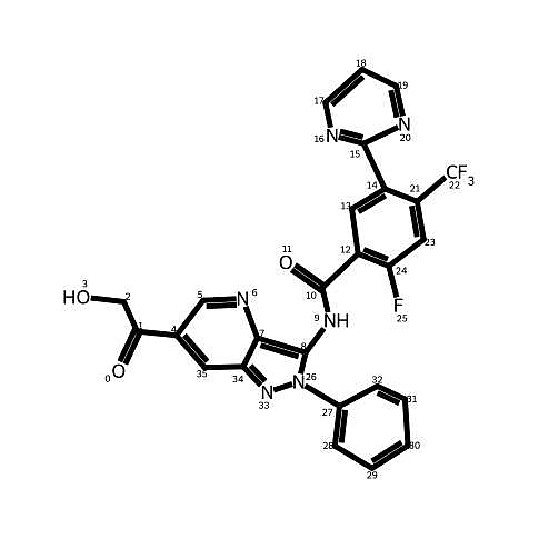 O=C(CO)c1cnc2c(NC(=O)c3cc(-c4ncccn4)c(C(F)(F)F)cc3F)n(-c3ccccc3)nc2c1